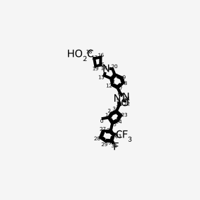 Cc1cc(-c2nc(-c3ccc4c(c3)CN([C@H]3C[C@H](C(=O)O)C3)C4)no2)ccc1-c1cccc(F)c1C(F)(F)F